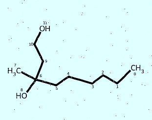 CCCCCCC(C)(O)CCO